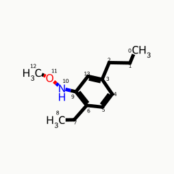 CCCc1ccc(CC)c(NOC)c1